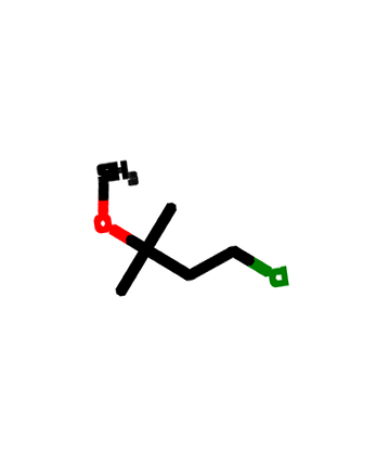 CC(C)(CCCl)O[SiH3]